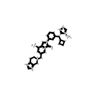 Cn1cnnc1[C@@H](c1cccc(-n2cc3c(C(F)(F)F)cc(CN4CCc5ncsc5C4)cn3c2=O)c1)C1CCC1